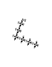 F[B-](F)(F)F.F[B-](F)(F)F.F[B-](F)(F)F.F[B-](F)(F)F.F[B-](F)(F)F.F[B-](F)(F)F.[Ag]